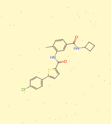 Cc1ccc(C(=O)NC2CCC2)cc1NC(=O)c1ccc(-c2ccc(Cl)cc2)s1